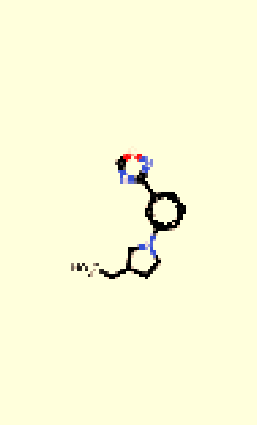 O=C(O)CC1CCN(c2cccc(-c3ncon3)c2)C1